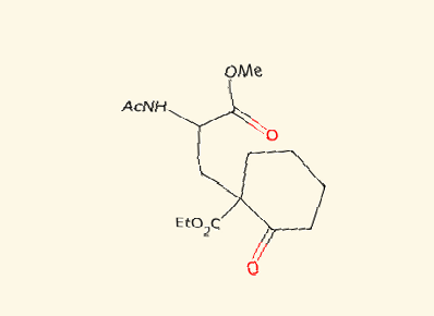 CCOC(=O)C1(CC(NC(C)=O)C(=O)OC)CCCCC1=O